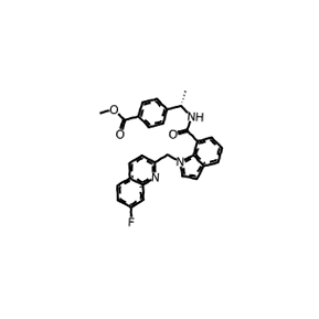 COC(=O)c1ccc([C@H](C)NC(=O)c2cccc3ccn(Cc4ccc5ccc(F)cc5n4)c23)cc1